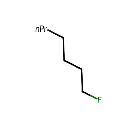 CCCCC[CH]CF